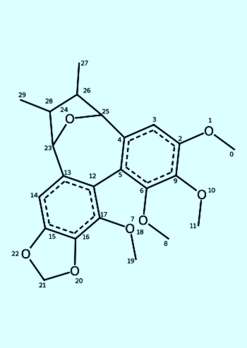 COc1cc2c(c(OC)c1OC)-c1c(cc3c(c1OC)OCO3)C1OC2C(C)C1C